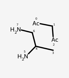 CC(=O)CC(C)=O.CC(N)CN